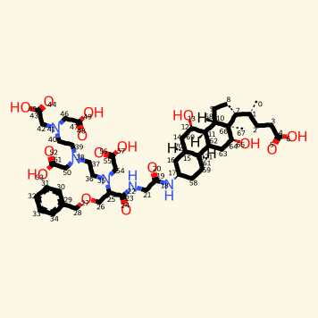 C[C@H](CCC(=O)O)[C@H]1CC[C@H]2[C@@H]3[C@H](O)C[C@@H]4C[C@@H](NC(=O)CNC(=O)C(COCc5ccccc5)N(CCN(CCN(CC(=O)O)CC(=O)O)CC(=O)O)CC(=O)O)CC[C@]4(C)[C@H]3C[C@H](O)[C@]12C